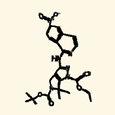 CCOC(=O)n1nc(Nc2nccc3cc([N+](=O)[O-])ccc23)c2c1C(C)(C)N(C(=O)OC(C)(C)C)C2